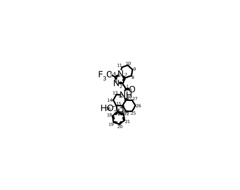 O=C(c1nc(C(F)(F)F)n2c1CCCC2)N1CC[C@](O)(c2ccccc2)[C@H]2CCCC[C@H]21